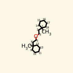 CC1(CCOCCC2(C)CCCCC2)CCCCC1